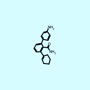 NC(=O)c1c(C2=CCCCC2)[c]ccc1-c1ccc(N)cc1